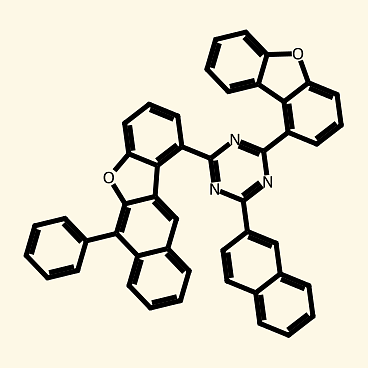 c1ccc(-c2c3ccccc3cc3c2oc2cccc(-c4nc(-c5ccc6ccccc6c5)nc(-c5cccc6oc7ccccc7c56)n4)c23)cc1